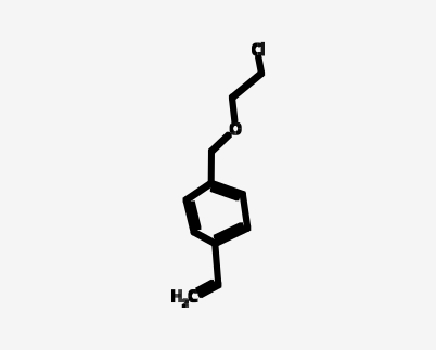 C=Cc1ccc(COCCCl)cc1